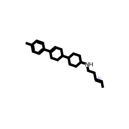 C/C=C/CCNC1CCC(C2CC=C(c3ccc(C)cc3)CC2)CC1